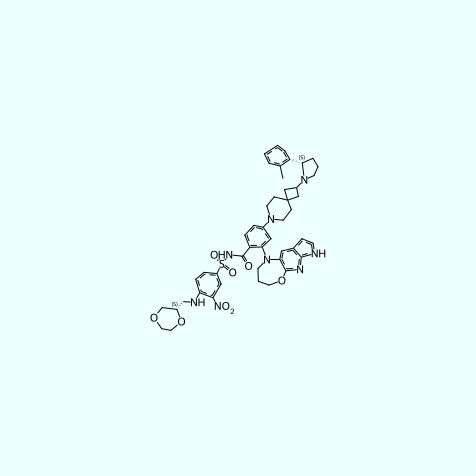 Cc1ccccc1[C@@H]1CCCN1C1CC2(CCN(c3ccc(C(=O)NS(=O)(=O)c4ccc(NC[C@H]5COCCO5)c([N+](=O)[O-])c4)c(N4CCCOc5nc6[nH]ccc6cc54)c3)CC2)C1